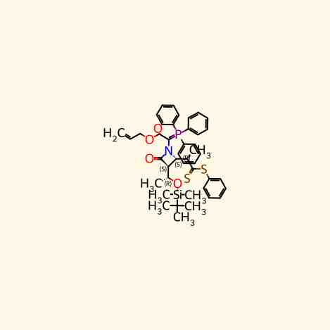 C=CCOC(=O)C(N1C(=O)[C@H]([C@@H](C)O[Si](C)(C)C(C)(C)C)[C@H]1[C@@H](C)C(=S)Sc1ccccc1)=P(c1ccccc1)(c1ccccc1)c1ccccc1